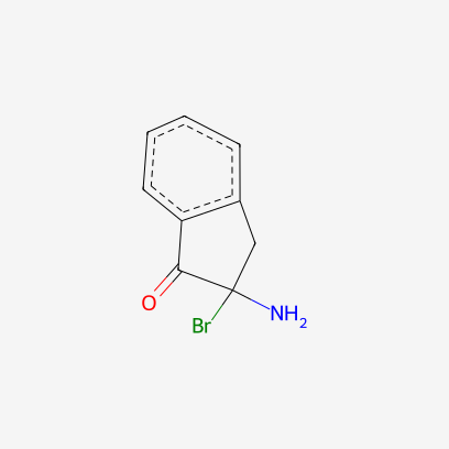 NC1(Br)Cc2ccccc2C1=O